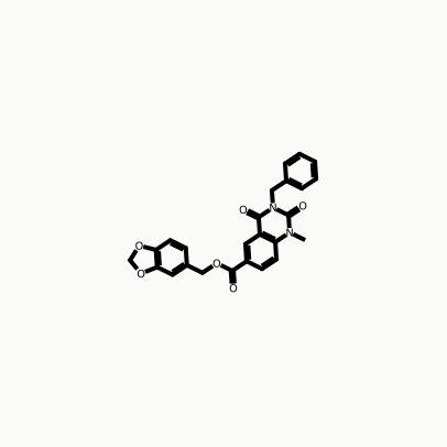 Cn1c(=O)n(Cc2ccccc2)c(=O)c2cc(C(=O)OCc3ccc4c(c3)OCO4)ccc21